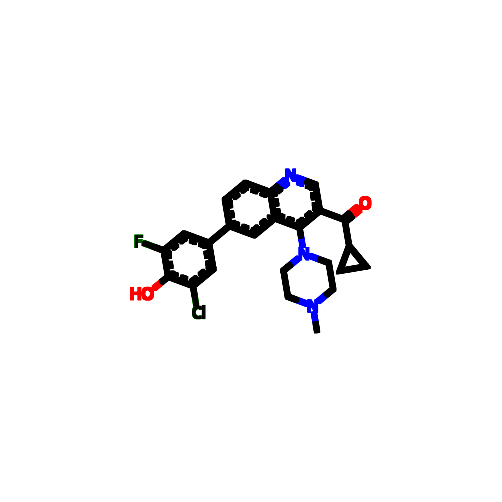 CN1CCN(c2c(C(=O)C3CC3)cnc3ccc(-c4cc(F)c(O)c(Cl)c4)cc23)CC1